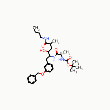 CCCCNC(=O)C(C)CC(O)C(Cc1cccc(OCc2ccccc2)c1)NC(=O)[C@H](C)NC(=O)OC(C)(C)C